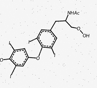 CC(=O)NC(COO)Cc1cc(I)c(Oc2cc(I)c(O)c(I)c2)c(I)c1